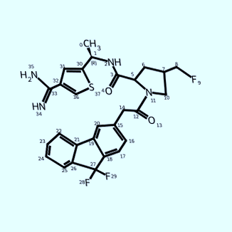 C[C@@H](NC(=O)C1CC(CF)CN1C(=O)Cc1ccc2c(c1)-c1ccccc1C2(F)F)c1cc(C(=N)N)cs1